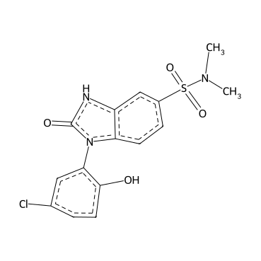 CN(C)S(=O)(=O)c1ccc2c(c1)[nH]c(=O)n2-c1cc(Cl)ccc1O